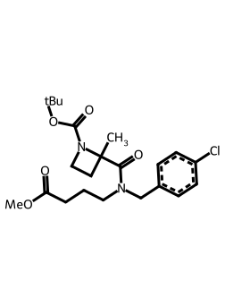 COC(=O)CCCN(Cc1ccc(Cl)cc1)C(=O)C1(C)CCN1C(=O)OC(C)(C)C